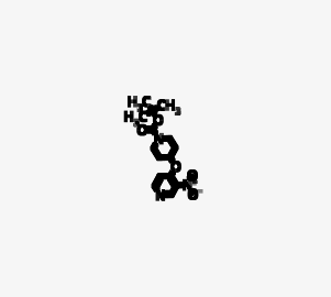 CC(C)(C)OC(=O)N1CCC(Oc2ccncc2[N+](=O)[O-])CC1